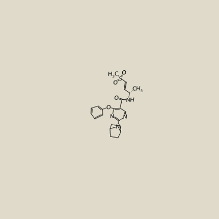 C[C@@H](/C=C/S(C)(=O)=O)NC(=O)c1cnc(N2C3CCC2CC3)nc1Oc1ccccc1